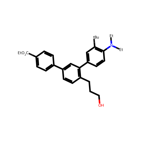 CCOC(=O)c1ccc(-c2ccc(CCCO)c(-c3ccc(N(CC)CC)c(C(C)(C)C)c3)c2)cc1